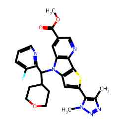 COC(=O)c1cnc2c3sc(-c4c(C)nnn4C)cc3n(C(c3ncccc3F)C3CCOCC3)c2c1